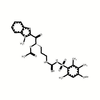 COc1cc(C)c(S(=O)(=O)NC(=N)NCCC[C@H](OC(N)=O)C(=O)c2nc3ccccc3n2C)c(C)c1C